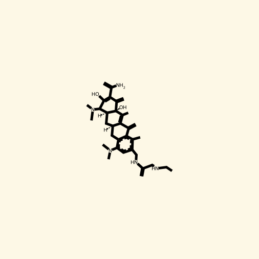 C=C(CNCC)NCc1cc(N(C)C)c2c(c1C)C(=C)C1=C(C)[C@]3(O)C(=C)C(C(=C)N)=C(O)C(N(C)C)[C@@H]3C[C@@H]1C2